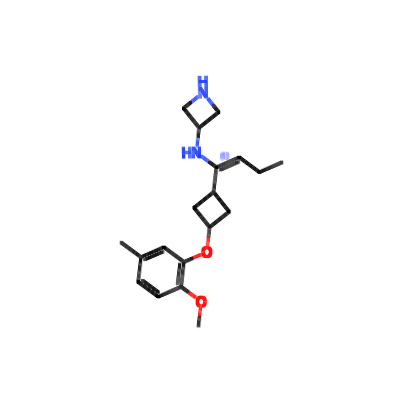 CC/C=C(/NC1CNC1)C1CC(Oc2cc(C)ccc2OC)C1